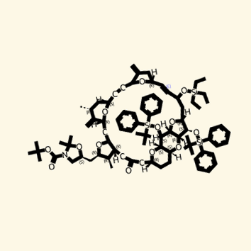 C=C1C[C@@H]2/C=C/C(O[Si](CC)(CC)CC)C[C@H]3O[C@H]4[C@@H](O[Si](c5ccccc5)(c5ccccc5)C(C)(C)C)[C@H]5O[C@H](CC[C@@H]5O[C@H]4[C@H]3O[Si](c3ccccc3)(c3ccccc3)C(C)(C)C)CC(=O)C[C@H]3C(C[C@H]4O[C@@H](CCC1O2)C[C@@H](C)C4=C)O[C@H](C[C@H]1CN(C(=O)OC(C)(C)C)C(C)(C)O1)[C@@H]3C